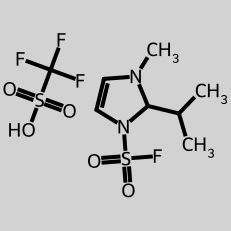 CC(C)C1N(C)C=CN1S(=O)(=O)F.O=S(=O)(O)C(F)(F)F